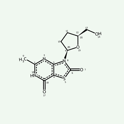 Cc1nc2c(sc(=O)n2[C@H]2CC[C@@H](CO)O2)c(=O)[nH]1